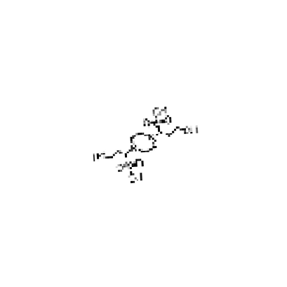 O=S(=O)(O)C(CCO)N1CCN(C(CCO)S(=O)(=O)O)CC1